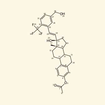 CC(=O)Oc1ccc2c(c1)CCC1C2CC[C@@]2(C)C1CC[C@@]2(O)/C=C/c1cc(CO)ccc1C(F)(F)F